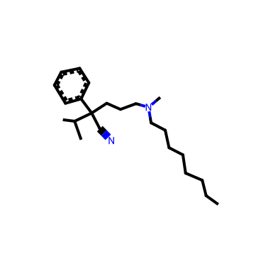 CCCCCCCCN(C)CCCC(C#N)(c1ccccc1)C(C)C